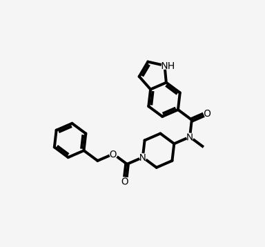 CN(C(=O)c1ccc2cc[nH]c2c1)C1CCN(C(=O)OCc2ccccc2)CC1